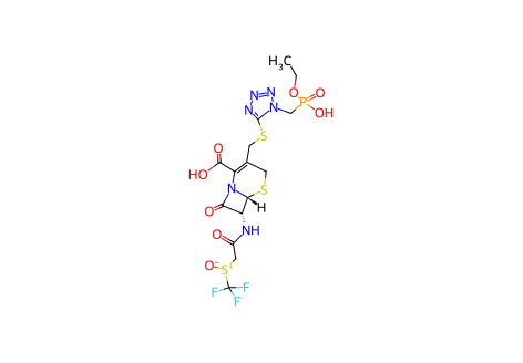 CCOP(=O)(O)Cn1nnnc1SCC1=C(C(=O)O)N2C(=O)[C@@H](NC(=O)C[S+]([O-])C(F)(F)F)[C@H]2SC1